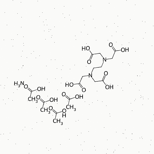 CC(=O)O.CC(=O)O.CC(=O)O.CC(=O)O.N.O=C(O)CN(CCN(CC(=O)O)CC(=O)O)CC(=O)O